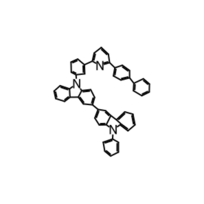 c1ccc(-c2ccc(-c3cccc(-c4cccc(-n5c6ccccc6c6cc(-c7ccc8c(c7)c7ccccc7n8-c7ccccc7)ccc65)c4)n3)cc2)cc1